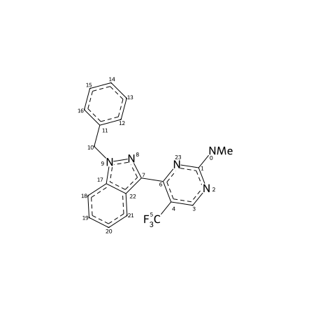 CNc1ncc(C(F)(F)F)c(-c2nn(Cc3ccccc3)c3ccccc23)n1